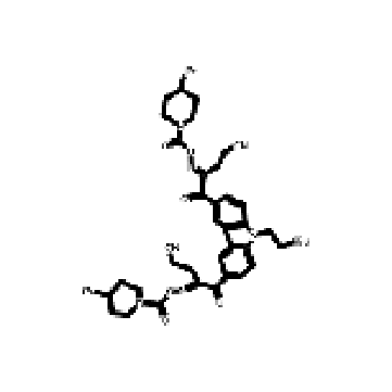 CCC(C)CCn1c2ccc(C(=O)/C(CCC#N)=N/OC(=O)N3CCC(C(C)C)CC3)cc2c2cc(C(=O)/C(CCC#N)=N/OC(=O)N3CCC(C(C)C)CC3)ccc21